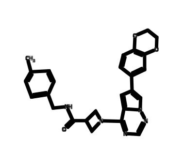 Cc1ccc(CNC(=O)C2CN(c3ncnn4cc(-c5ccc6c(c5)OCCO6)cc34)C2)cc1